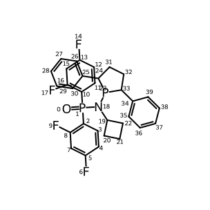 O=P(c1ccc(F)cc1F)(c1ccc(F)cc1F)N(C1CCC1)P1C(c2ccccc2)CCC1c1ccccc1